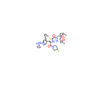 Cc1cc(NC2CCC2)ncc1-c1sc(C(=O)NCC(C)(C)O)nc1C(=O)N1CCC(F)CC1